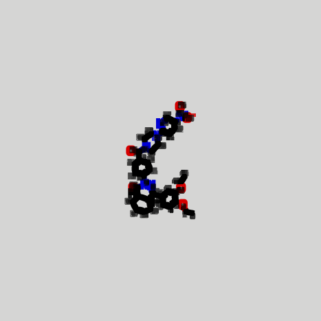 CCOc1ccc(C2=NN(c3ccc(C(=O)N4CCN(c5ccc([N+](=O)[O-])cn5)CC4)cc3)C(=O)[C@@H]3CC=CC[C@H]23)cc1OCC